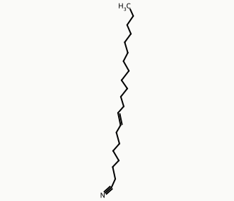 CCCCCCCCCCCCC=CCCCCCCC#N